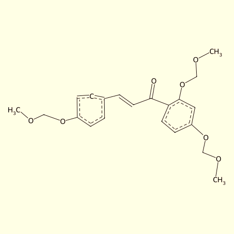 COCOc1ccc(/C=C/C(=O)c2ccc(OCOC)cc2OCOC)cc1